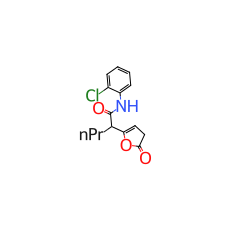 CCCC(C(=O)Nc1ccccc1Cl)C1=CCC(=O)O1